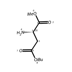 COC(=O)[C@@H](N)CC(=O)OCC(C)C